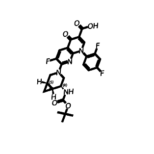 CC(C)(C)OC(=O)N[C@H]1CN(c2nc3c(cc2F)c(=O)c(C(=O)O)cn3-c2ccc(F)cc2F)C[C@H]2C[C@H]21